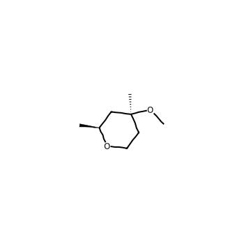 CO[C@@]1(C)CCO[C@@H](C)C1